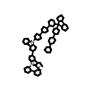 c1ccc(-c2ccc(-c3ccc(C4(c5cccc(-c6ccc(-c7ccc(-n8c9ccccc9c9cc(-c%10ccc%11c(c%10)c%10ccccc%10n%11-c%10ccccc%10-c%10ccccc%10)ccc98)cc7)cc6)c5)c5ccccc5-c5ccccc54)cc3)cc2)cc1